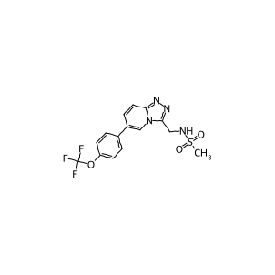 CS(=O)(=O)NCc1nnc2ccc(-c3ccc(OC(F)(F)F)cc3)cn12